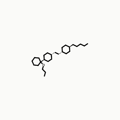 CCCCC[C@H]1CC[C@H](CC[C@H]2CC[C@H](C3(OCCC)CCCCC3)CC2)CC1